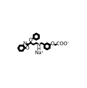 O=C([O-])COc1cccc(CNCCC(Oc2ccccc2)c2nc3ccccc3o2)c1.[Na+]